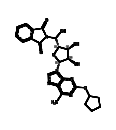 Nc1nc(OC2CCCC2)nc2c1ncn2[C@@H]1O[C@H](C(O)N2C(=O)c3ccccc3C2=O)[C@@H](O)[C@H]1O